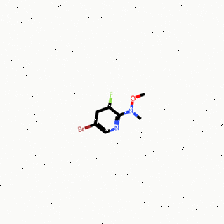 CON(C)C1=NC=C(Br)CC1F